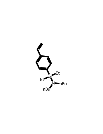 C=Cc1ccc([Si](CC)(CC)N(CCCC)CCCC)cc1